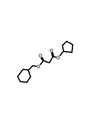 O=C(CC(=O)OC1CCCC1)OCC1CCCCC1